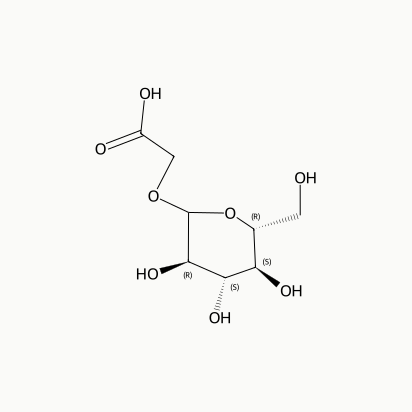 O=C(O)COC1O[C@H](CO)[C@@H](O)[C@H](O)[C@H]1O